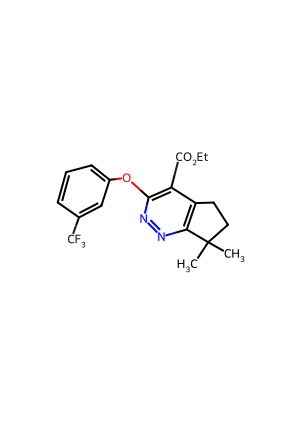 CCOC(=O)c1c(Oc2cccc(C(F)(F)F)c2)nnc2c1CCC2(C)C